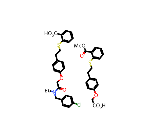 CCN(Cc1ccc(Cl)cc1)C(=O)COc1ccc(CCSc2ccccc2C(=O)O)cc1.COC(=O)c1ccccc1SCCc1ccc(OCC(=O)O)cc1